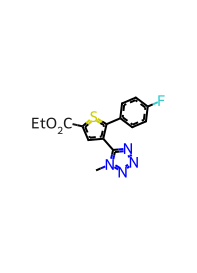 CCOC(=O)c1cc(-c2nnnn2C)c(-c2ccc(F)cc2)s1